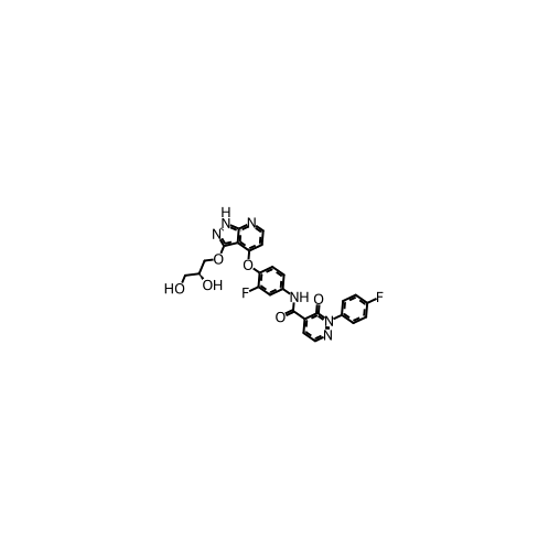 O=C(Nc1ccc(Oc2ccnc3[nH]nc(OC[C@@H](O)CO)c23)c(F)c1)c1ccnn(-c2ccc(F)cc2)c1=O